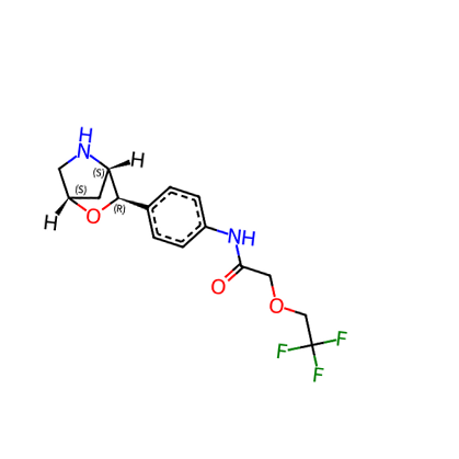 O=C(COCC(F)(F)F)Nc1ccc([C@H]2O[C@@H]3CN[C@H]2C3)cc1